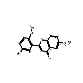 CCCc1ccc(OC(C)C)c(-c2cc(=O)c3cc(C(=O)OCC)ccc3o2)c1